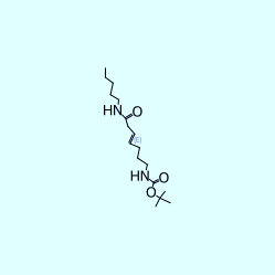 CCCCCNC(=O)C/C=C/CCCNC(=O)OC(C)(C)C